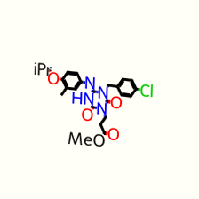 COC(=O)CCn1c(=O)[nH]/c(=N\c2ccc(OC(C)C)c(C)c2)n(Cc2ccc(Cl)cc2)c1=O